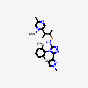 COc1cccc(OC)c1-n1c(NSC(C)C(C)c2cnc(C)c[n+]2OC)nnc1-c1ccn(C)n1